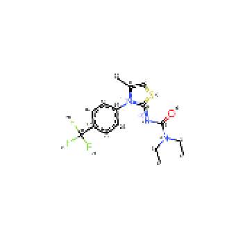 CCN(CC)C(=O)/N=c1\scc(C)n1-c1ccc(C(F)(F)F)cc1